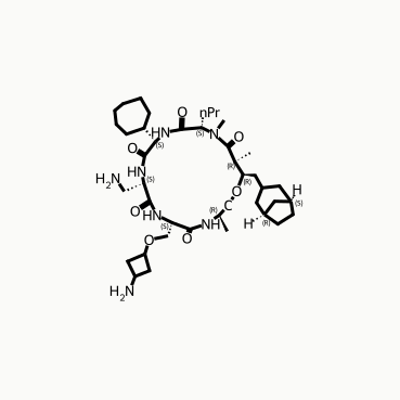 CCC[C@H]1C(=O)N[C@@H](C2CCCCCC2)C(=O)N[C@@H](CN)C(=O)N[C@@H](COC2CC(N)C2)C(=O)N[C@H](C)CO[C@H](CC2C[C@H]3CC[C@@H](C2)C3)[C@@H](C)C(=O)N1C